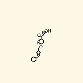 O=C(/C=N/O)c1ccc(OCC2CN(Cc3ccccc3)C2)nc1